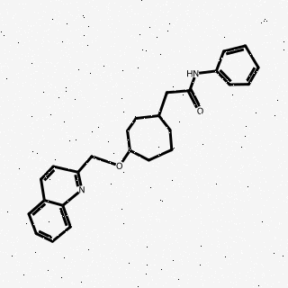 O=C(CC1CCCC(OCc2ccc3ccccc3n2)CC1)Nc1ccccc1